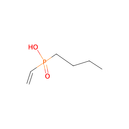 C=CP(=O)(O)CCCC